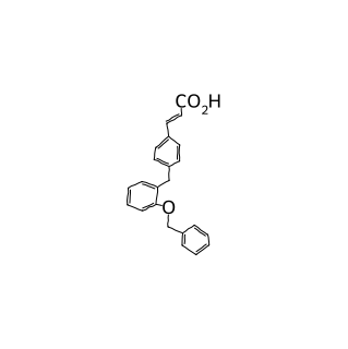 O=C(O)C=Cc1ccc(Cc2ccccc2OCc2ccccc2)cc1